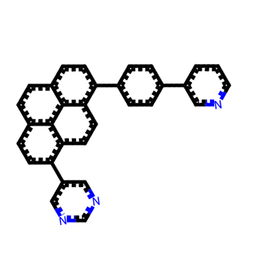 c1cncc(-c2ccc(-c3ccc4ccc5ccc(-c6cncnc6)c6ccc3c4c56)cc2)c1